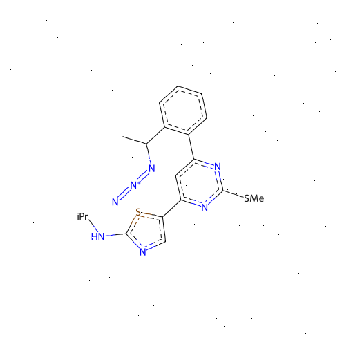 CSc1nc(-c2cnc(NC(C)C)s2)cc(-c2ccccc2C(C)N=[N+]=[N-])n1